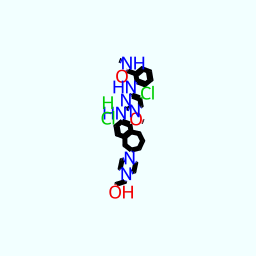 CNC(=O)c1ccccc1Nc1nc(Nc2ccc3c(c2OC)CCCC(N2CCN(CCO)CC2)C3)ncc1Cl.Cl